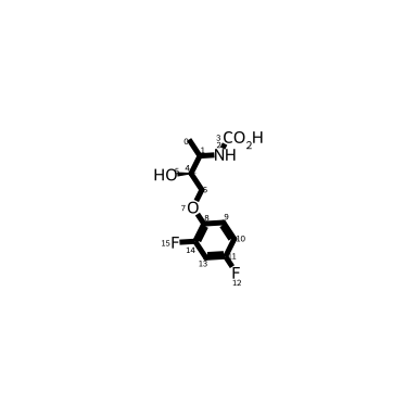 CC(NC(=O)O)[C@H](O)COc1ccc(F)cc1F